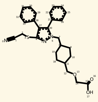 N#CCSc1nn(CC2CCC(COCC(=O)O)CC2)c(-c2ccccc2)c1-c1ccccc1